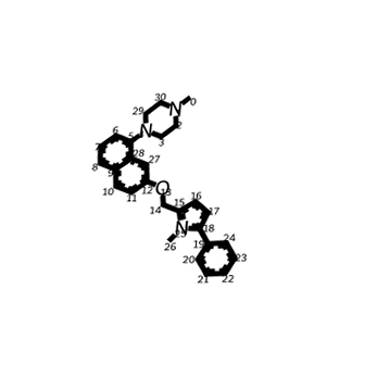 CN1CCN(c2cccc3ccc(OCc4ccc(-c5ccccc5)n4C)cc23)CC1